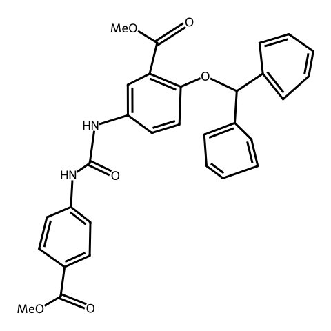 COC(=O)c1ccc(NC(=O)Nc2ccc(OC(c3ccccc3)c3ccccc3)c(C(=O)OC)c2)cc1